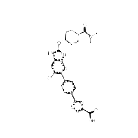 CN(C)C(=O)[C@H]1CC[C@H](Oc2nc3nc(-c4ccc(-c5nc(C(=O)O)cs5)cc4)c(Cl)cc3[nH]2)CC1